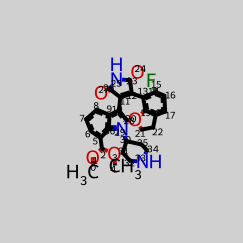 COC(OC)c1cccc2c(C3=C(c4c(F)ccc5c4OCC5)C(=O)NC3=O)cn(C3CCNCC3)c12